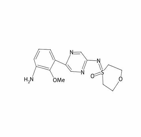 COc1c(N)cccc1-c1cnc(N=S2(=O)CCOCC2)cn1